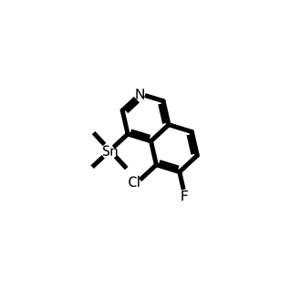 [CH3][Sn]([CH3])([CH3])[c]1cncc2ccc(F)c(Cl)c12